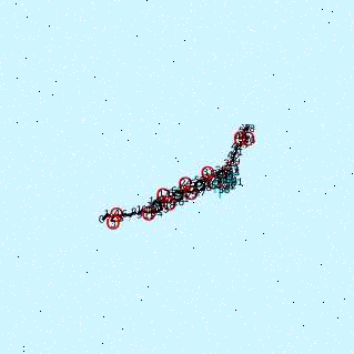 C=CC(=O)OCCCCCCOc1ccc(C(=O)Oc2ccc(C(=O)Oc3ccc(C(=O)Oc4ccc(OCCCCCCOC(=O)C=C)c(C(F)(F)F)c4C(F)(F)F)cc3)cc2)cc1